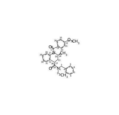 CCN(Cc1ccccc1)C(=O)[C@@H]1C[C@H](C)N(C(=O)c2ccc(OC)cc2)c2ccccc21